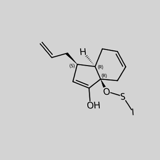 C=CC[C@@H]1C=C(O)[C@@]2(OSI)CC=CC[C@H]12